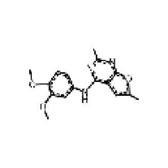 COc1ccc(Nc2nc(C)nc3oc(C)cc23)cc1OC